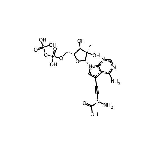 C[C@@]1(O)[C@H](O)[C@@H](COP(=O)(O)OP(=O)(O)O)O[C@H]1n1cc(C#CN(N)C(=O)O)c2c(N)ncnc21